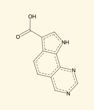 O=C(O)c1c[nH]c2c1ccc1cncnc12